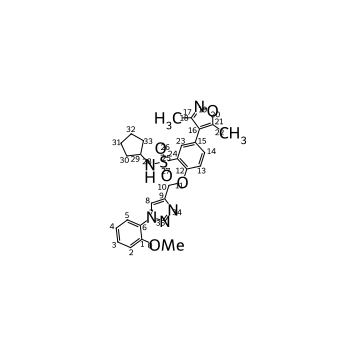 COc1ccccc1-n1cc(COc2ccc(-c3c(C)noc3C)cc2S(=O)(=O)NC2CCCC2)nn1